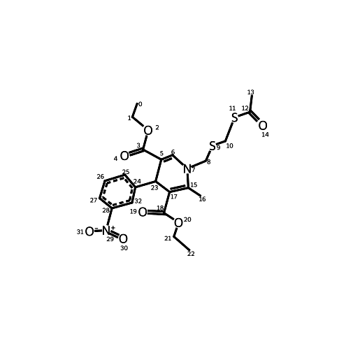 CCOC(=O)C1=CN(CSCSC(C)=O)C(C)=C(C(=O)OCC)C1c1cccc([N+](=O)[O-])c1